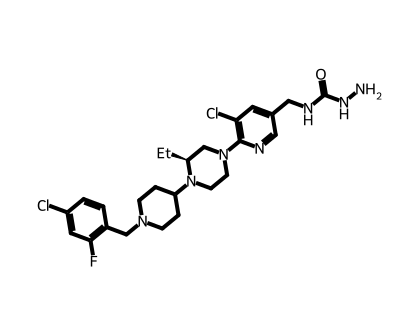 CC[C@H]1CN(c2ncc(CNC(=O)NN)cc2Cl)CCN1C1CCN(Cc2ccc(Cl)cc2F)CC1